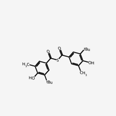 Cc1cc(C(=O)SC(=O)c2cc(C)c(O)c(C(C)(C)C)c2)cc(C(C)(C)C)c1O